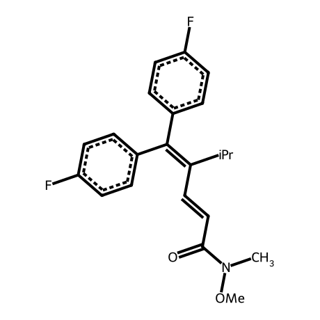 CON(C)C(=O)/C=C/C(=C(c1ccc(F)cc1)c1ccc(F)cc1)C(C)C